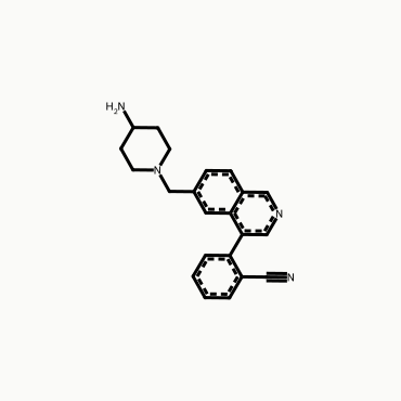 N#Cc1ccccc1-c1cncc2ccc(CN3CCC(N)CC3)cc12